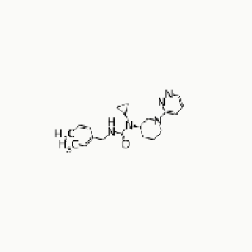 C/C=C\C(=C/C)CNC(=O)N(C1CC1)[C@@H]1CCCN(c2cccnn2)C1